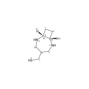 SCC1CN[C@H]2CC[C@H]2NC1